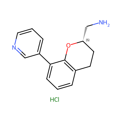 Cl.NC[C@@H]1CCc2cccc(-c3cccnc3)c2O1